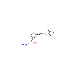 Cc1cccc(C)c1SCC#Cc1cccc([C@H](O)CCN)c1